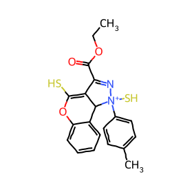 CCOC(=O)C1=N[N+](S)(c2ccc(C)cc2)C2C1=C(S)Oc1ccccc12